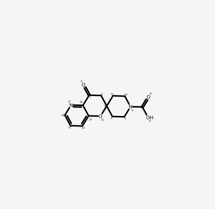 O=C1CC2(CCN(C(=O)O)CC2)Oc2cccnc21